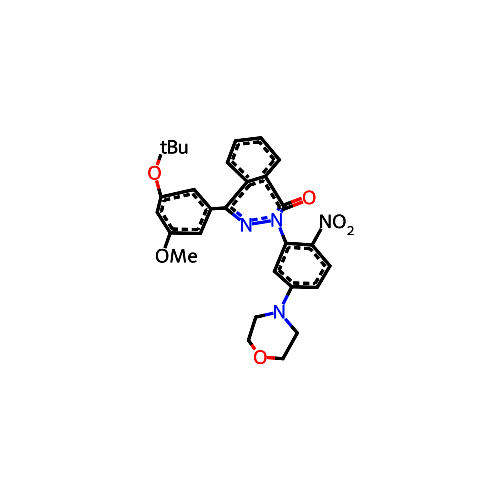 COc1cc(OC(C)(C)C)cc(-c2nn(-c3cc(N4CCOCC4)ccc3[N+](=O)[O-])c(=O)c3ccccc23)c1